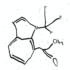 O=C(O)c1cccc2ccn(C(F)(F)F)c12